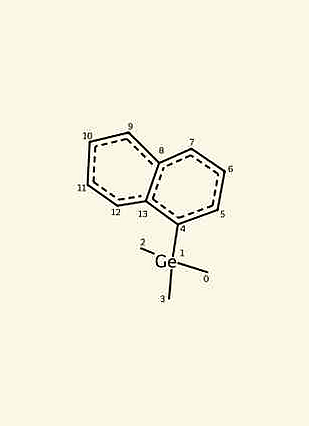 [CH3][Ge]([CH3])([CH3])[c]1cccc2ccccc12